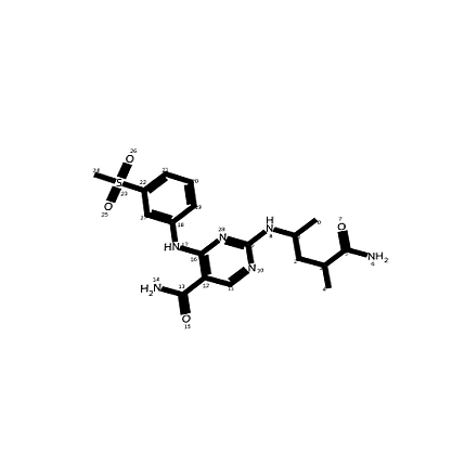 CC(CC(C)C(N)=O)Nc1ncc(C(N)=O)c(Nc2cccc(S(C)(=O)=O)c2)n1